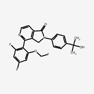 CC(C)(O)c1ccc(N2Cc3c(ccnc3-c3c(F)cc(F)cc3OCF)C2=O)cc1